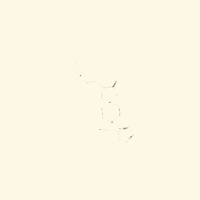 COC(C)(C)CCN1CC2(CCC(c3cccs3)(N(C)C)CC2)CC1=O